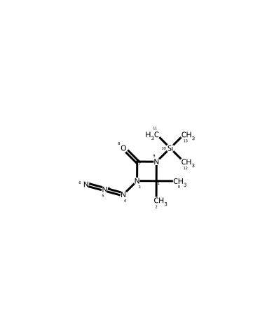 CC1(C)N(N=[N+]=[N-])C(=O)N1[Si](C)(C)C